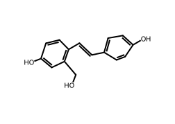 OCc1cc(O)ccc1C=Cc1ccc(O)cc1